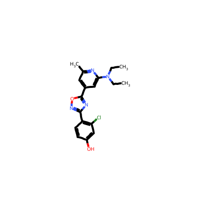 CCN(CC)c1cc(-c2nc(-c3ccc(O)cc3Cl)no2)cc(C)n1